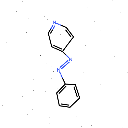 c1ccc(N=Nc2ccncc2)cc1